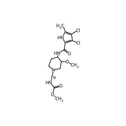 COC(=O)[NH][Fe][N]1CCC(NC(=O)c2[nH]c(C)c(Cl)c2Cl)C(OC)C1